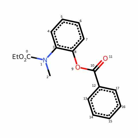 CCOC(=O)N(C)c1ccccc1OC(=O)c1ccccc1